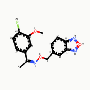 COc1cc(C(C)=NOCc2ccc3nonc3c2)ccc1F